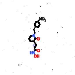 O=C(/C=C/c1cccn(CCc2ccc([N+](=O)[O-])cc2)c1=O)NO